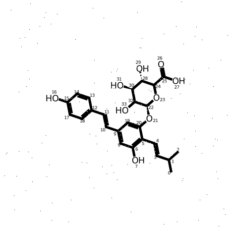 CC(C)/C=C/c1c(O)cc(/C=C/c2ccc(O)cc2)cc1O[C@@H]1OC(C(=O)O)[C@@H](O)[C@H](O)C1O